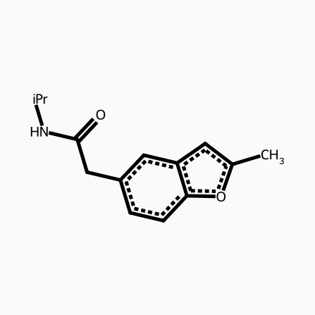 Cc1cc2cc(CC(=O)NC(C)C)ccc2o1